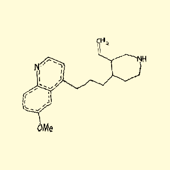 C=CC1CNCCC1CCCc1ccnc2ccc(OC)cc12